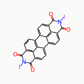 O=C1c2ccc3c4ccc5c6c(ccc(c7ccc(c2c37)C(=O)N1I)c64)C(=O)N(I)C5=O